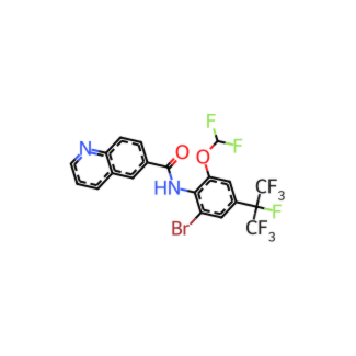 O=C(Nc1c(Br)cc(C(F)(C(F)(F)F)C(F)(F)F)cc1OC(F)F)c1ccc2ncccc2c1